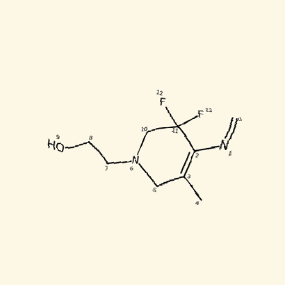 C=NC1=C(C)CN(CCO)CC1(F)F